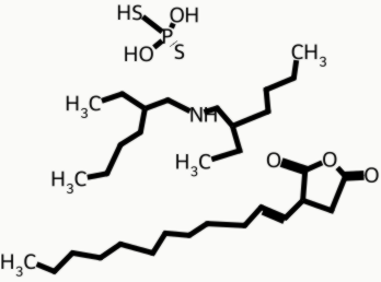 CCCCC(CC)CNCC(CC)CCCC.CCCCCCCCCCC=CC1CC(=O)OC1=O.OP(O)(=S)S